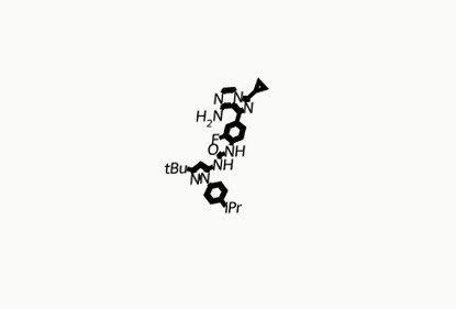 CC(C)c1ccc(-n2nc(C(C)(C)C)cc2NC(=O)Nc2ccc(-c3nc(C4CC4)n4ccnc(N)c34)cc2F)cc1